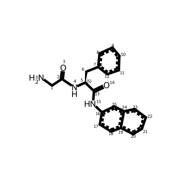 NCC(=O)N[C@@H](Cc1ccccc1)C(=O)Nc1ccc2ccccc2c1